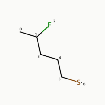 CC(F)CCC[S]